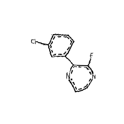 Fc1nccnc1-c1cc[c]c(Cl)c1